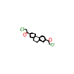 O=C(CCl)c1ccc2c(c1)CCc1cc(C(=O)CCl)ccc1-2